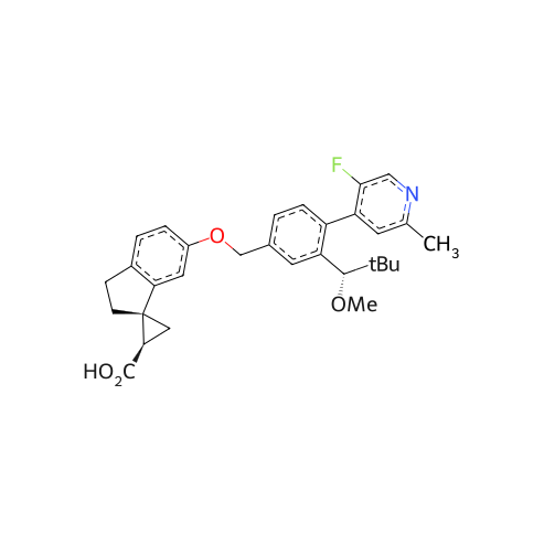 CO[C@H](c1cc(COc2ccc3c(c2)[C@]2(CC3)C[C@H]2C(=O)O)ccc1-c1cc(C)ncc1F)C(C)(C)C